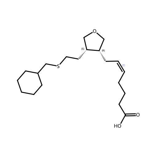 O=C(O)CCC/C=C\C[C@H]1COC[C@H]1CCSCC1CCCCC1